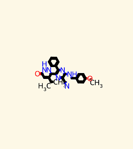 COc1ccc(CNc2nc(-c3ccccc3)c(-c3n[nH]c(=O)cc3C(C)C)nc2C#N)cc1